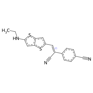 CCNc1cc2sc(/C=C(\C#N)c3ccc(C#N)cc3)cc2s1